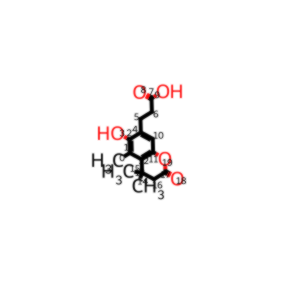 Cc1c(O)c(CCC(=O)O)cc2c1C(C)(C)CC(=O)O2